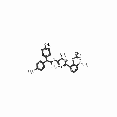 COc1ccnc(C(=O)N[C@@H](C)C(=O)O[C@@H](C)C(c2ccc(C)cc2)c2ccc(C)cc2)c1OC(C)=O